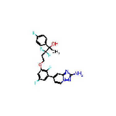 CC(O)(c1ccc(F)cc1)C(F)(F)CCOc1cc(F)cc(-c2ccn3nc(N)nc3c2)c1F